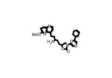 COc1ccc2nccc(CCC(N)CCC3CN(C4=COC=C(C5=CC=CCC5)O4)C(=O)O3)c2n1